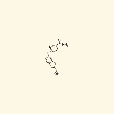 NC(=O)c1ccc(Oc2ccc3c(c2)CC(CO)C3)nc1